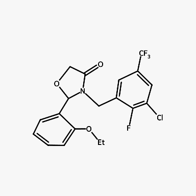 CCOc1ccccc1C1OCC(=O)N1Cc1cc(C(F)(F)F)cc(Cl)c1F